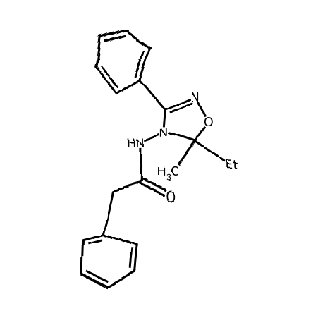 CCC1(C)ON=C(c2ccccc2)N1NC(=O)Cc1ccccc1